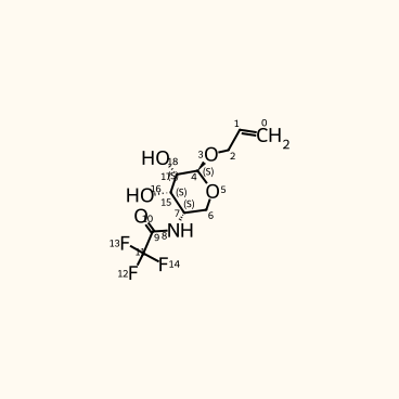 C=CCO[C@H]1OC[C@H](NC(=O)C(F)(F)F)[C@H](O)[C@@H]1O